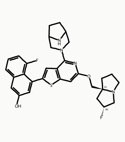 Oc1cc(-c2cc3c(N4CC5CCC(C4)N5)nc(OC[C@@]45CCCN4C[C@H](F)C5)cc3s2)c2c(F)cccc2c1